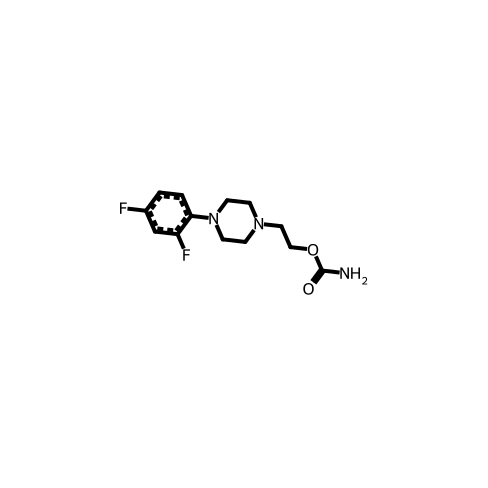 NC(=O)OCCN1CCN(c2ccc(F)cc2F)CC1